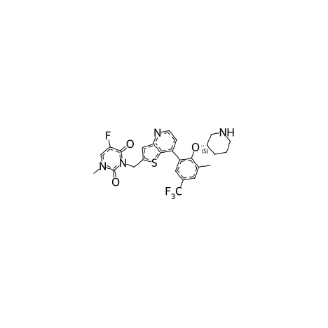 Cc1cc(C(F)(F)F)cc(-c2ccnc3cc(Cn4c(=O)c(F)cn(C)c4=O)sc23)c1O[C@H]1CCCNC1